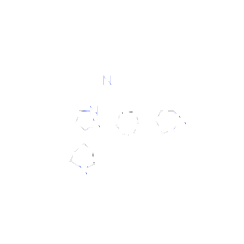 Cc1cc(-c2ccn([C@H]3CN(C)C[C@@H]3c3cccc(-c4ccncc4)c3)n2)ccn1